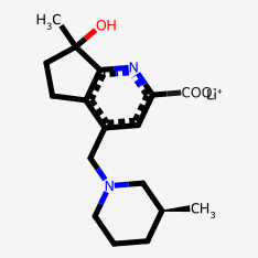 C[C@H]1CCCN(Cc2cc(C(=O)[O-])nc3c2CCC3(C)O)C1.[Li+]